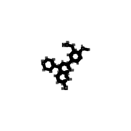 COc1ccc(-c2cc(C3=CCOCC3)c3ccc(Cl)nc3n2)cc1CO